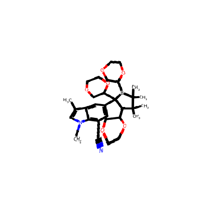 Cc1cn(C)c2c(C#N)cc(C3(C4COCCO4)B(C4COCCO4)C(C)(C)C(C)(C)C3C3COCCO3)cc12